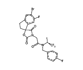 C[C@H](N(Cc1ccc(F)cc1)C(=O)CN1C(=O)OC2(CCc3cc(Br)c(F)cc32)C1=O)C(F)(F)F